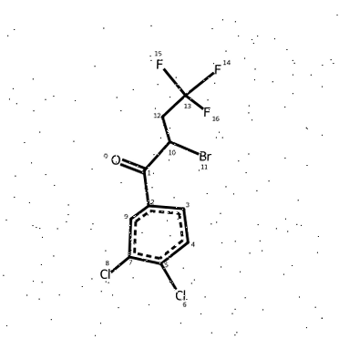 O=C(c1ccc(Cl)c(Cl)c1)C(Br)CC(F)(F)F